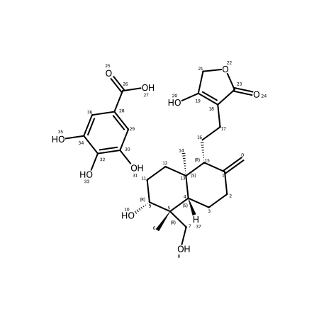 C=C1CC[C@@H]2[C@](C)(CO)[C@H](O)CC[C@@]2(C)[C@@H]1CCC1=C(O)COC1=O.O=C(O)c1cc(O)c(O)c(O)c1